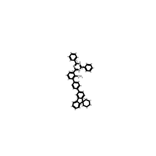 Cc1c(-c2ccc(-c3ccc4c(c3)-c3ccccc3C43CCCCC3)cc2)cccc1-c1nc(-c2ccccc2)nc(-c2ccccc2)n1